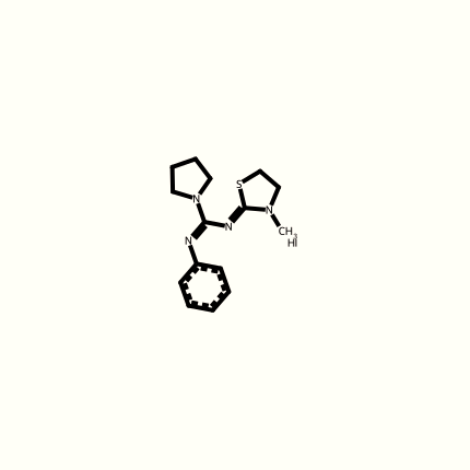 CN1CCSC1=NC(=Nc1ccccc1)N1CCCC1.I